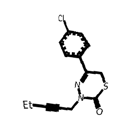 CCC#CCN1N=C(c2ccc(Cl)cc2)CSC1=O